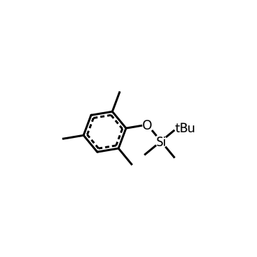 Cc1cc(C)c(O[Si](C)(C)C(C)(C)C)c(C)c1